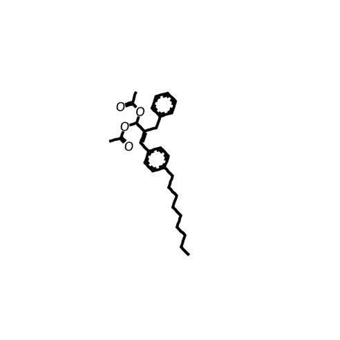 CCCCCCCCCc1ccc(/C=C(\Cc2ccccc2)C(OC(C)=O)OC(C)=O)cc1